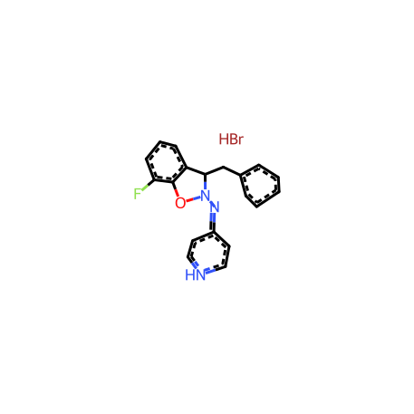 Br.Fc1cccc2c1ON(N=c1cc[nH]cc1)C2Cc1ccccc1